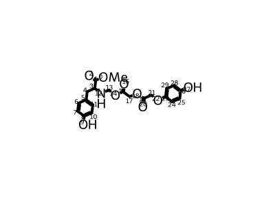 COC(=O)C(Cc1ccc(O)cc1)NCOC(=O)COC(=O)COc1ccc(O)cc1